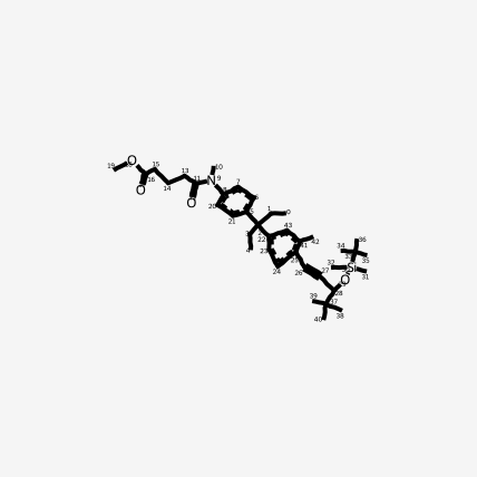 CCC(CC)(c1ccc(N(C)C(=O)CCCC(=O)OC)cc1)c1ccc(C#CC(O[Si](C)(C)C(C)(C)C)C(C)(C)C)c(C)c1